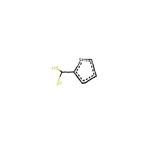 SC(S)c1ccc[se]1